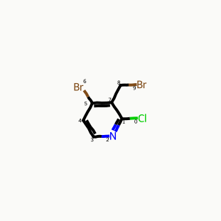 Clc1nccc(Br)c1CBr